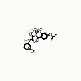 CCN1CCC[C@@H](Nc2nnc(-c3ccc(OC(F)F)cc3O)n(C)c2=O)C1.O=CO